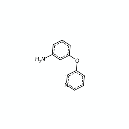 Nc1cccc(Oc2[c]nccc2)c1